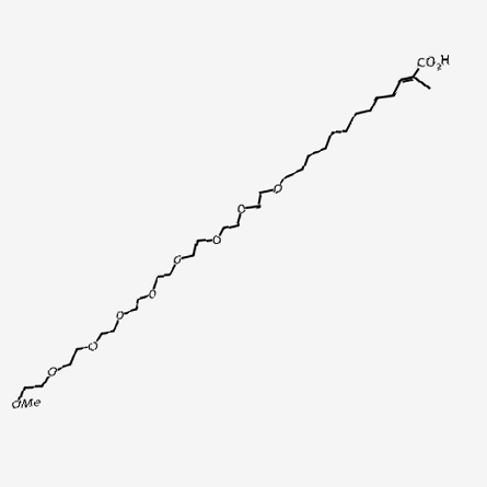 COCCOCCOCCOCCOCCOCCOCCOCCOCCCCCCCCCC/C=C(\C)C(=O)O